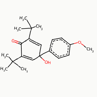 COc1ccc(C2(O)C=C(C(C)(C)C)C(=O)C(C(C)(C)C)=C2)cc1